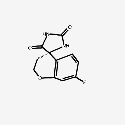 O=C1NC(=O)[C@@]2(CCOc3cc(F)ccc32)N1